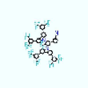 N#Cc1cccc(-c2cc(-n3c4ccc(-c5cc(C(F)(F)F)cc(C(F)(F)F)c5)cc4c4cc(-c5cc(C(F)(F)F)cc(C(F)(F)F)c5)ccc43)c(C(F)(F)F)c(-n3c4ccc(-c5cc(C(F)(F)F)cc(C(F)(F)F)c5)cc4c4cc(-c5cc(C(F)(F)F)cc(C(F)(F)F)c5)ccc43)c2)c1